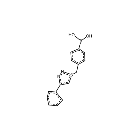 OB(O)c1ccc(Cn2cc(-c3ccccc3)nn2)cc1